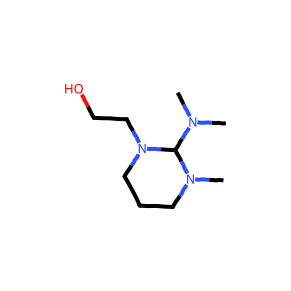 CN(C)C1N(C)CCCN1CCO